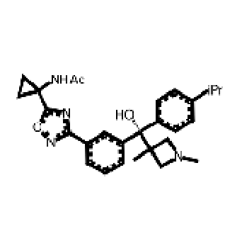 CC(=O)NC1(c2nc(-c3cccc([C@@](O)(c4ccc(C(C)C)cc4)C4(C)CN(C)C4)c3)no2)CC1